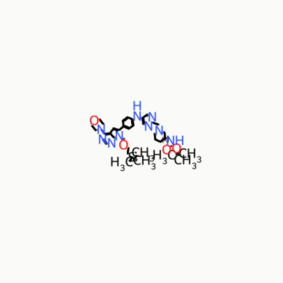 CC(C)(C)OC(=O)N[C@@H]1CCCN(Cc2ncc(Nc3ccc(-c4cc5c(N6CCOCC6)ncnc5n4COCC[Si](C)(C)C)cc3)cn2)C1